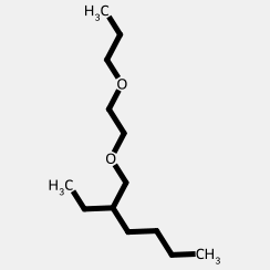 CCCCC(CC)COCCOCCC